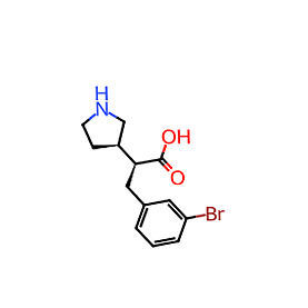 O=C(O)[C@@H](Cc1cccc(Br)c1)[C@H]1CCNC1